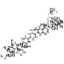 COC[C@H]1C[C@@H](c2nc3ccc4cc5c(cc4c3[nH]2)OCc2cc(-c3ccc4nc([C@@H]6CCCN6C(=O)[C@@H](NC(=O)OC)C(C)C)[nH]c4c3)ccc2-5)N([C@@](C=O)(NC(=O)O)C(C)C)C1